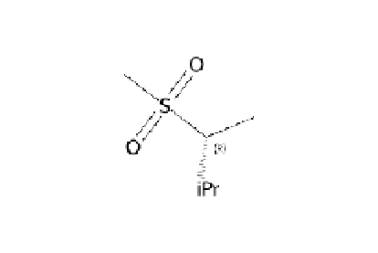 CC(C)[C@@H](C)S(C)(=O)=O